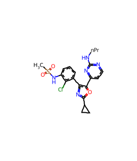 CCCNc1nccc(-c2oc(C3CC3)nc2-c2cccc(NS(C)(=O)=O)c2Cl)n1